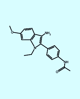 CCn1c(-c2ccc(NC(C)=O)cc2)c(N)c2ccc(OC)cc21